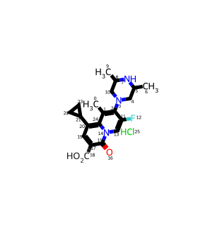 Cc1c(N2CC(C)NC(C)C2)c(F)cn2c(=O)c(C(=O)O)cc(C3CC3)c12.Cl